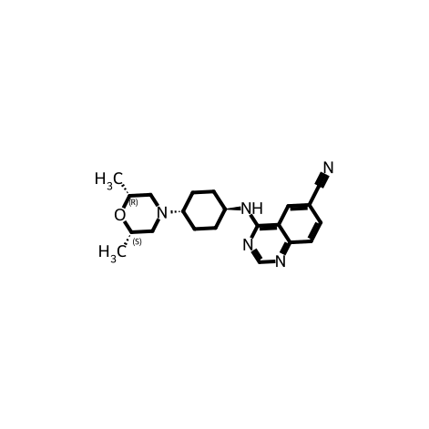 C[C@@H]1CN([C@H]2CC[C@H](Nc3ncnc4ccc(C#N)cc34)CC2)C[C@H](C)O1